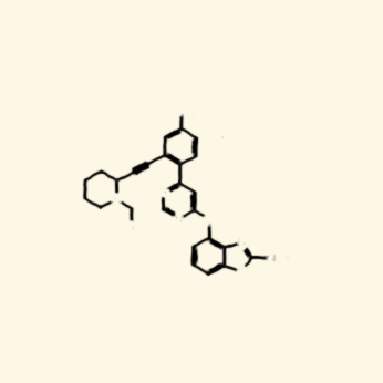 CC(=O)Nc1nc2c(Oc3cc(-c4ccc(C(F)(F)F)cc4C#CC4CCCCN4CC(C)C)ncn3)cccc2s1.Cl